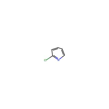 Clc1[c]cccn1